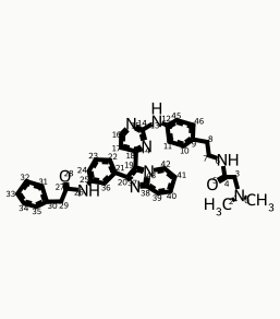 CN(C)CC(=O)NCCc1ccc(Nc2nccc(-c3c(-c4cccc(NC(=O)Cc5ccccc5)c4)nc4ccccn34)n2)cc1